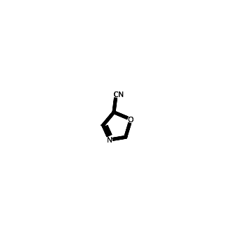 N#CC1[C]=NCO1